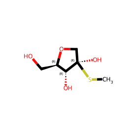 CS[C@]1(O)CO[C@H](CO)[C@H]1O